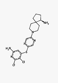 Nc1cc(Sc2cnc(N3CCC4(CCC[C@H]4N)CC3)cn2)c(Cl)c(Cl)n1